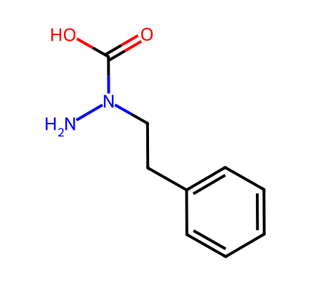 NN(CCc1ccccc1)C(=O)O